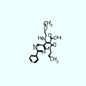 C=CCn1c(=O)c(C(=O)O)c(NCCOC)c2cnc(-c3ccccc3)nc21